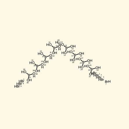 Br.Br.Br.Br.Br.Br.Br.Br.OB(O)O.OB(O)O.OB(O)O.OB(O)O.OB(O)O.OB(O)O.OB(O)O.OB(O)O.[LiH]